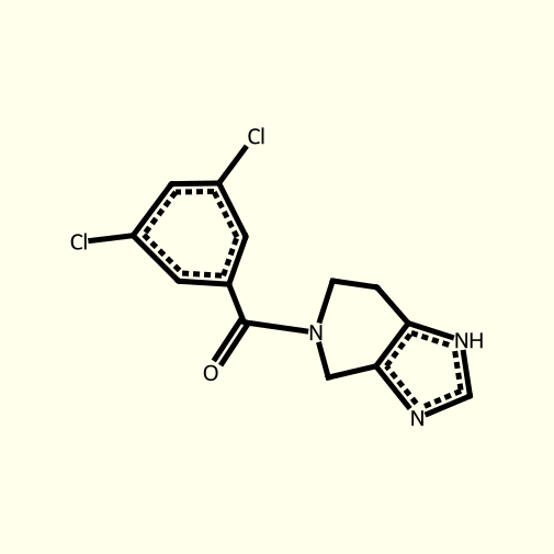 O=C(c1cc(Cl)cc(Cl)c1)N1CCc2[nH]cnc2C1